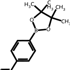 CC1(C)OB(c2ccc(C=O)cc2)OC1(C)C